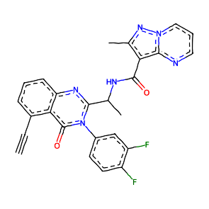 C#Cc1cccc2nc(C(C)NC(=O)c3c(C)nn4cccnc34)n(-c3ccc(F)c(F)c3)c(=O)c12